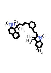 CNc1ccc2ccccc2c1C(C)(C)C/C=C/C1=CC(=C/C=C2/N(C)c3ccc(C)cc3C2(C)C)/CCC1